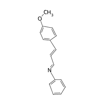 COc1ccc(C=CC=Nc2ccccc2)cc1